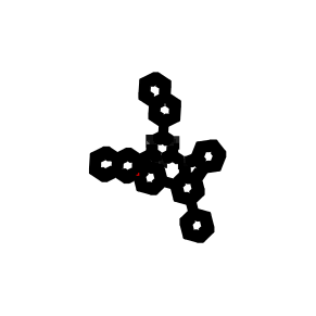 c1ccc(-c2cc(-c3ccccc3)c3c(c2)c2ccccc2n3-c2nc(-c3ccc4ccccc4c3)nc(-c3ccc4ccccc4c3)n2)cc1